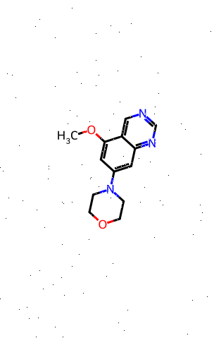 COc1cc(N2CCOCC2)cc2ncncc12